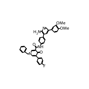 COc1ccc(-c2cnc(N)c(-c3ccc(NC(=O)c4cn(Cc5ccccc5)cc(-c5ccc(F)cc5)c4=O)cc3)c2)cc1OC